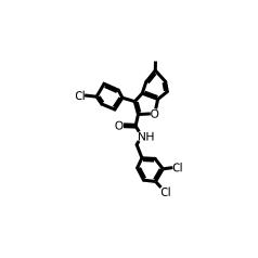 Cc1ccc2oc(C(=O)NCc3ccc(Cl)c(Cl)c3)c(-c3ccc(Cl)cc3)c2c1